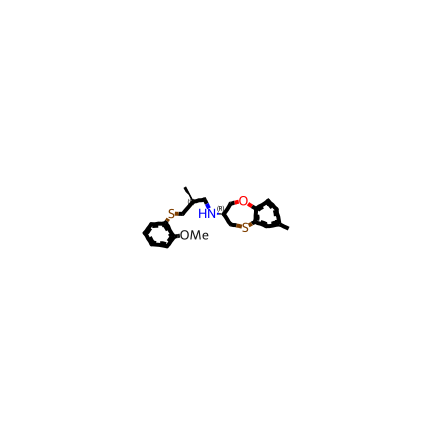 COc1ccccc1SC[C@@H](C)CN[C@@H]1COc2ccc(C)cc2SC1